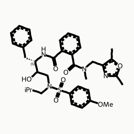 COc1ccc(S(=O)(=O)N(CC(C)C)CC(O)[C@H](Cc2ccccc2)NC(=O)c2ccccc2C(=O)N(C)Cc2nc(C)oc2C)cc1